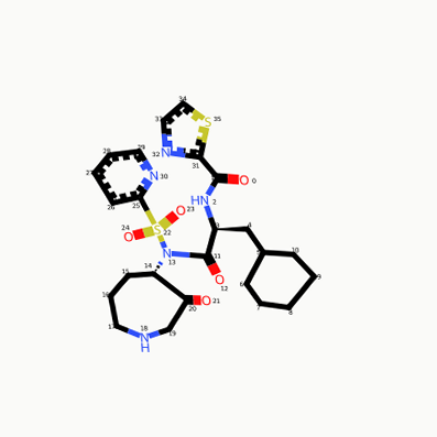 O=C(N[C@@H](CC1CCCCC1)C(=O)N([C@H]1CCCNCC1=O)S(=O)(=O)c1ccccn1)c1nccs1